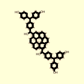 Oc1ccc(C(c2ccc(O)cc2)c2ccc(C(O)C3=C4C=CC5=CC=c6c(C(O)c7ccc(C(c8ccc(O)cc8)c8ccc(O)cc8)cc7)cc7ccc8ccc(c9c8c7c6C5C49)=C3)cc2)cc1